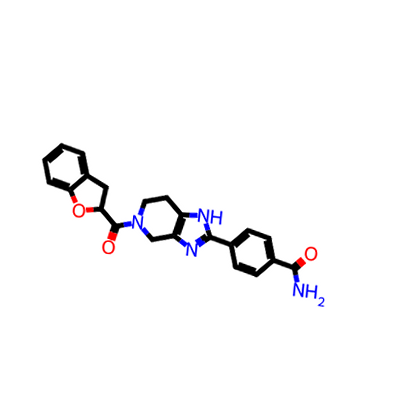 NC(=O)c1ccc(-c2nc3c([nH]2)CCN(C(=O)C2Cc4ccccc4O2)C3)cc1